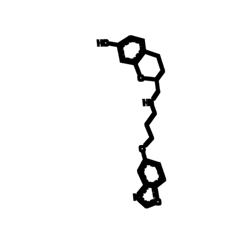 Oc1ccc2c(c1)OC(CNCCCOc1ccc3ocnc3c1)CC2